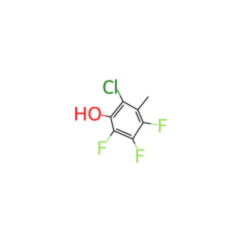 Cc1c(F)c(F)c(F)c(O)c1Cl